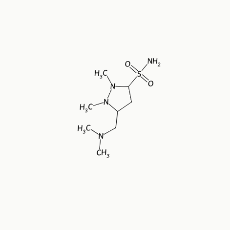 CN(C)CC1CC(S(N)(=O)=O)N(C)N1C